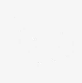 NC(=NC1C2CC3CC(C2)CC1C3)OC(=S)NC1C2CC3CC(C2)CC1C3